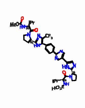 COC(=O)N[C@H](C(=O)N1CCC[C@H]1c1nc(C(F)(F)F)c(-c2ccc(-c3ncc(-c4cnc([C@@H]5CCCN5C(=O)[C@@H](NC(=O)O)C(C)C)[nH]4)cn3)cc2)[nH]1)C(C)C